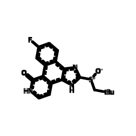 CC(C)(C)C[S+]([O-])c1nc2c3ccc(F)cc3c3c(=O)[nH]ccc3c2[nH]1